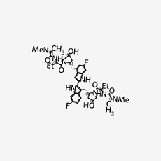 CC[C@H](NC(=O)[C@@H](C)NC)C(=O)N1C[C@H](O)C[C@@H]1Cc1cc(F)cc2[nH]c(-c3[nH]c4cc(F)ccc4c3C[C@H]3C[C@@H](O)CN3C(=O)[C@@H](CC)NC(=O)[C@@H](C)NC)cc12